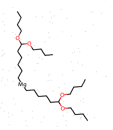 CCCCOC(CCCC[CH2][Mg][CH2]CCCCC(OCCCC)OCCCC)OCCCC